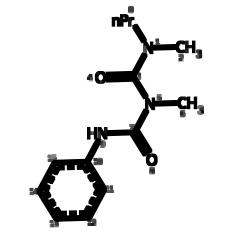 CCCN(C)C(=O)N(C)C(=O)Nc1ccccc1